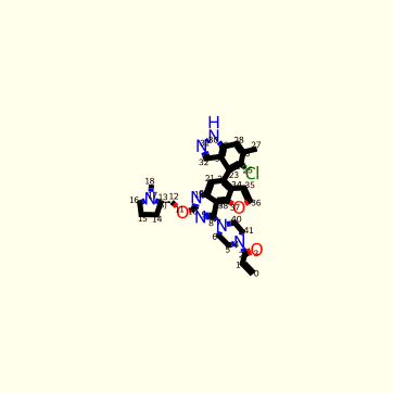 C=CC(=O)N1CCN(c2nc(OC[C@@H]3CCCN3C)nc3cc(-c4c(Cl)c(C)cc5[nH]ncc45)c4ccoc4c23)CC1